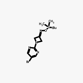 CC(C)(C)[Si](C)(C)ON=C1CN(c2ncc(Br)cn2)C1